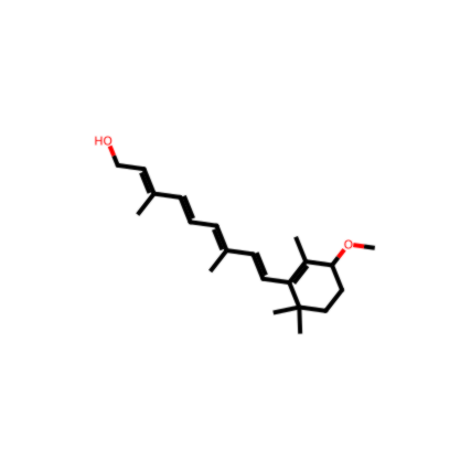 COC1CCC(C)(C)C(/C=C/C(C)=C/C=C/C(C)=C/CO)=C1C